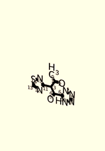 CC(=O)C(C(=O)c1nnn[nH]1)c1ncsn1